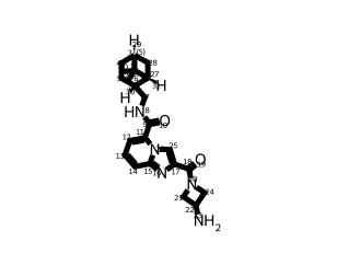 CC1(C)[C@H]2CC[C@@H](CNC(=O)c3cccc4nc(C(=O)N5CC(N)C5)cn34)[C@H]1C2